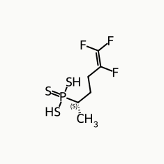 C[C@@H](CCC(F)=C(F)F)P(=S)(S)S